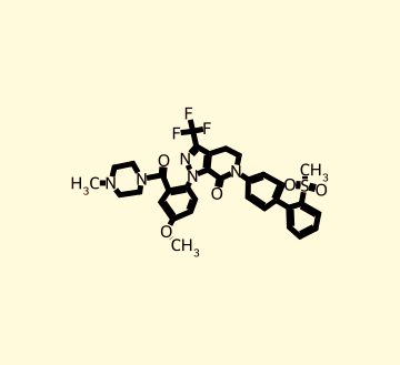 COc1ccc(-n2nc(C(F)(F)F)c3c2C(=O)N(c2ccc(-c4ccccc4S(C)(=O)=O)cc2)CC3)c(C(=O)N2CCN(C)CC2)c1